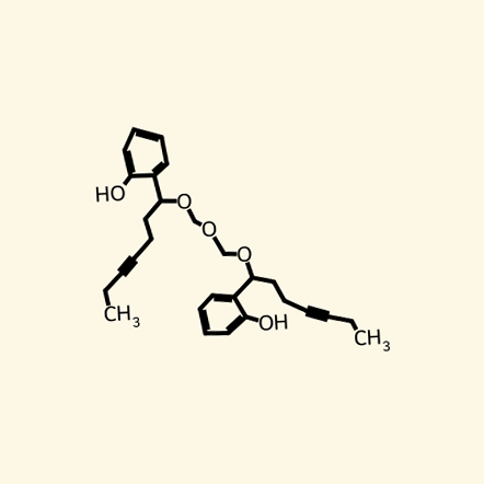 CCC#CCCC(OCOCOC(CCC#CCC)c1ccccc1O)c1ccccc1O